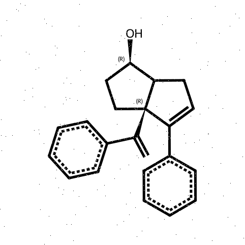 C=C(c1ccccc1)[C@@]12CC[C@@H](O)C1CC=C2c1ccccc1